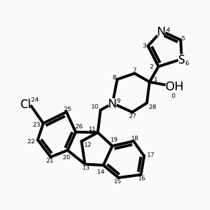 OC1(c2cncs2)CCN(CC23CC(c4ccccc42)c2ccc(Cl)cc23)CC1